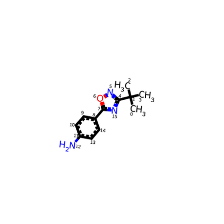 CC(C)(C)c1noc(-c2ccc(N)cc2)n1